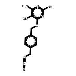 [N-]=[N+]=NCc1ccc(COc2nc(N)nc(N)c2N=O)cc1